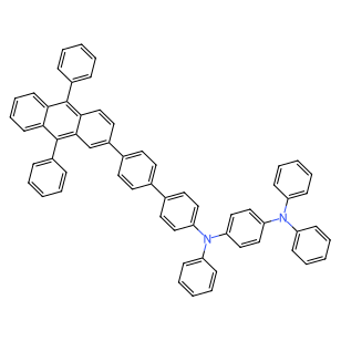 c1ccc(-c2c3ccccc3c(-c3ccccc3)c3cc(-c4ccc(-c5ccc(N(c6ccccc6)c6ccc(N(c7ccccc7)c7ccccc7)cc6)cc5)cc4)ccc23)cc1